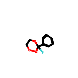 FC1(c2ccccc2)OCCOO1